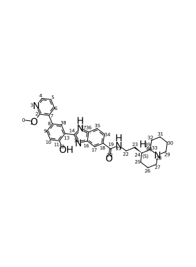 COc1ncccc1-c1ccc(O)c(-c2nc3cc(C(=O)NCC[C@@H]4CCCN5CCCC[C@H]45)ccc3[nH]2)c1